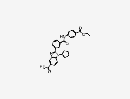 CCOC(=O)c1ccc(NC(=O)c2cccc(-c3nc4cc(C(=O)O)ccc4n3C3CCCC3)c2)cc1